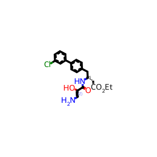 CCOC(=O)C[C@@H](Cc1ccc(-c2cccc(Cl)c2)cc1)NC(=O)/C(O)=C/N